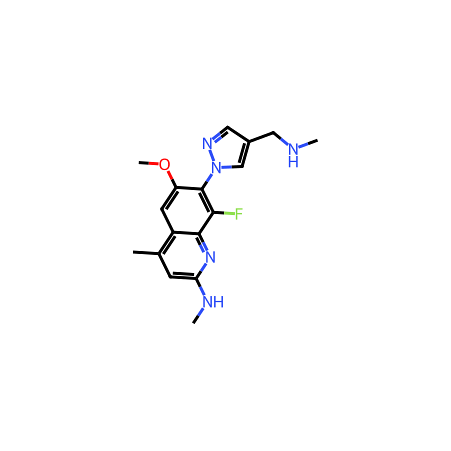 CNCc1cnn(-c2c(OC)cc3c(C)cc(NC)nc3c2F)c1